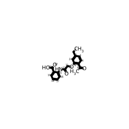 CCc1ccc(C(C)=O)c(OCC(=O)Nc2ccccc2C(=O)O)c1